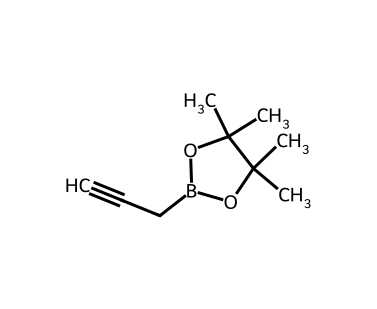 C#CCB1OC(C)(C)C(C)(C)O1